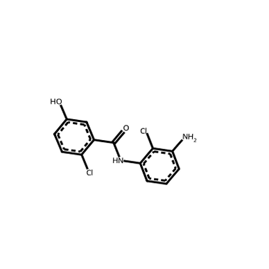 Nc1cccc(NC(=O)c2cc(O)ccc2Cl)c1Cl